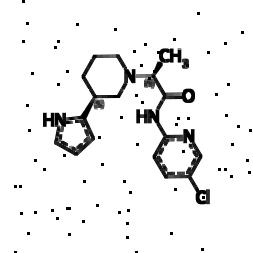 C[C@@H](C(=O)Nc1ccc(Cl)cn1)N1CCC[C@H](c2ccc[nH]2)C1